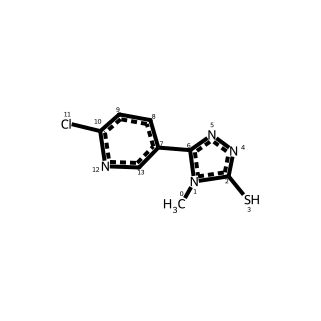 Cn1c(S)nnc1-c1ccc(Cl)nc1